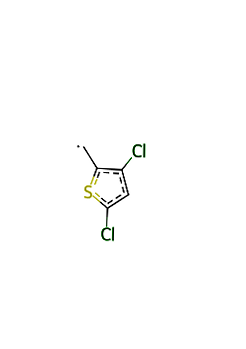 [CH2]c1sc(Cl)cc1Cl